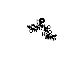 CCN1CCN(C(=O)NC(C(=O)N[C@@H]2CN(C(=O)NS(=O)(=O)Nc3cc(C)sn3)C2=O)c2ccccc2)C(=O)C1=O